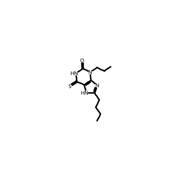 CCCCc1nc2c([nH]1)c(=S)[nH]c(=O)n2CCC